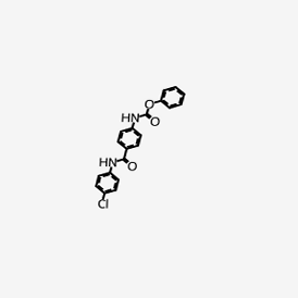 O=C(Nc1ccc(C(=O)Nc2ccc(Cl)cc2)cc1)Oc1ccccc1